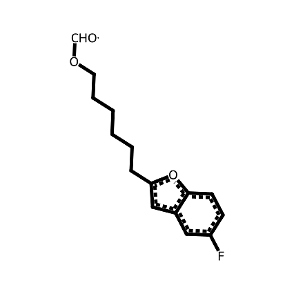 O=[C]OCCCCCCc1cc2cc(F)ccc2o1